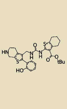 CC(C)(C)OC(=O)c1c(NC(=O)NCc2c(-c3ccccc3O)sc3c2CCNC3)sc2c1CCCC2